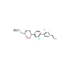 C/C=C/c1ccc(-c2ccc(C3CCC(CCOC)OC3)cc2F)c(F)c1F